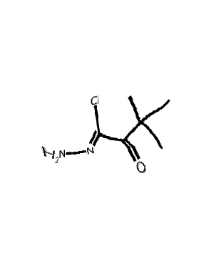 CC(C)(C)C(=O)/C(Cl)=N/N